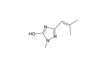 CC(C)=Cc1nc(O)n(C)n1